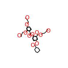 O=C(Oc1ccc(OC(=O)C2CCCCC2)cc1C(=O)OCCC1CO1)c1ccc(OCC2CO2)cc1OCC1CO1